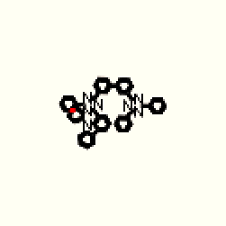 c1ccc(-c2nc(-c3ccccc3)nc(-c3cccc(-c4cccc(-c5nc(-c6ccccc6)nc(-c6cccc7c8ccccc8n(-c8ccccc8)c67)n5)c4)c3)n2)cc1